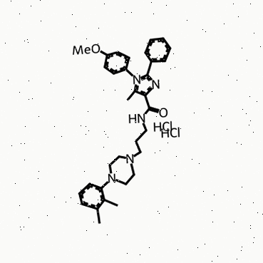 COc1ccc(-n2c(-c3ccccc3)nc(C(=O)NCCCN3CCN(c4cccc(C)c4C)CC3)c2C)cc1.Cl.Cl